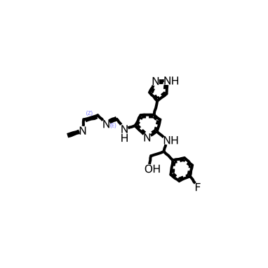 C=N/C=C\N=C\Nc1cc(-c2cn[nH]c2)cc(NC(CO)c2ccc(F)cc2)n1